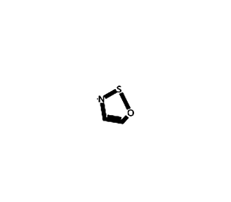 C1=COS[N]1